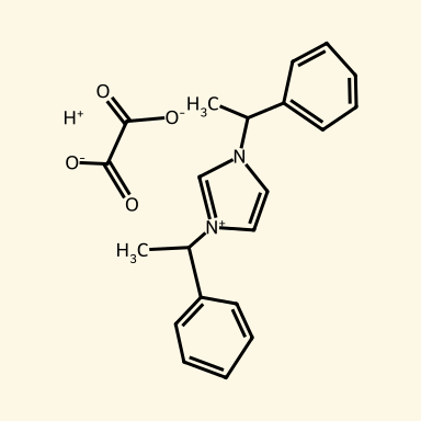 CC(c1ccccc1)n1cc[n+](C(C)c2ccccc2)c1.O=C([O-])C(=O)[O-].[H+]